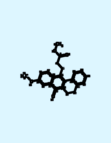 COC(=O)CCc1c2n(c(=O)c3cc(OC)ccc13)CCc1ccccc1-2